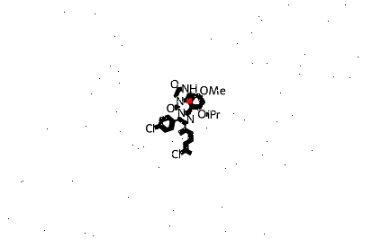 C=C(/C=C\C=C(/C)Cl)[C@@H]1N=C(c2ccc(OC)cc2OC(C)C)N(C(=O)N2CCNC(=O)C2)[C@@H]1c1ccc(Cl)cc1